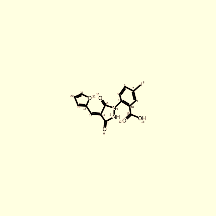 O=C1NN(c2ccc(I)cc2C(=O)O)C(=O)C1=Cc1ccco1